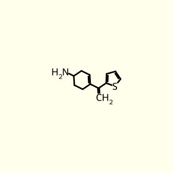 C=C(C1=CCC(N)CC1)c1cccs1